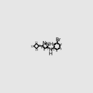 Brc1cccc(Nc2cc(C3CCC3)n[nH]2)c1